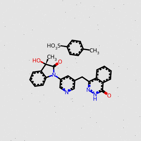 C[C@@]1(O)C(=O)N(c2cncc(Cc3n[nH]c(=O)c4ccccc34)c2)c2ccccc21.Cc1ccc(S(=O)(=O)O)cc1